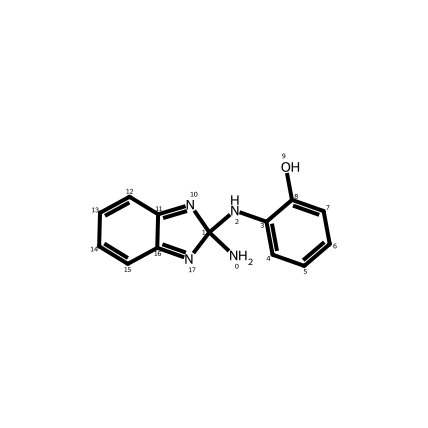 NC1(Nc2ccccc2O)N=c2ccccc2=N1